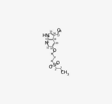 CCCS(=O)(=O)CCCOc1cnc2[nH]cc(C=O)c2c1